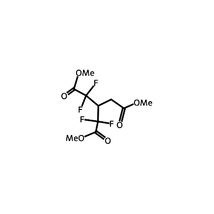 COC(=O)CC(C(F)(F)C(=O)OC)C(F)(F)C(=O)OC